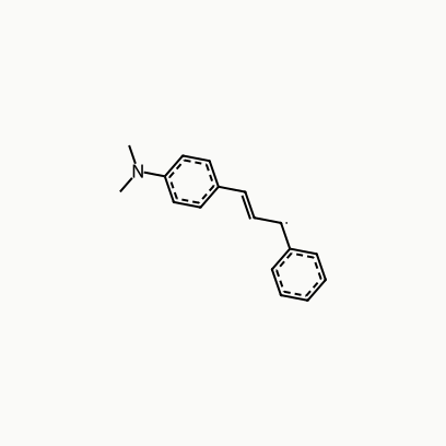 CN(C)c1ccc(C=C[CH]c2ccccc2)cc1